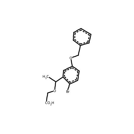 CC(OCC(=O)O)c1cc(OCc2ccccc2)ccc1Br